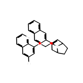 Clc1cc(NCCN2C3C=C(c4ccc5ccccc5c4)CC2CC3)c2ncccc2c1